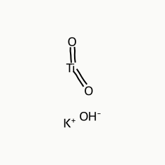 [K+].[OH-].[O]=[Ti]=[O]